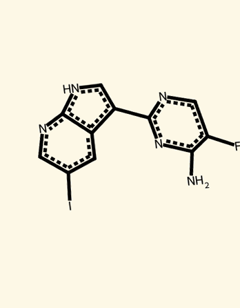 Nc1nc(-c2c[nH]c3ncc(I)cc23)ncc1F